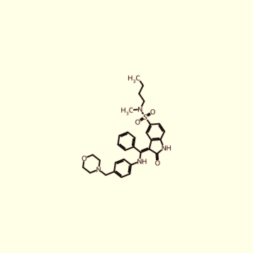 CCCCN(C)S(=O)(=O)c1ccc2c(c1)/C(=C(/Nc1ccc(CN3CCOCC3)cc1)c1ccccc1)C(=O)N2